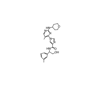 Cc1cccc(C(CO)NC(=O)c2cn(-c3nc(NC4CCOCC4)ncc3C)cn2)c1